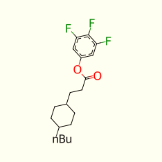 CCCCC1CCC(CCC(=O)Oc2cc(F)c(F)c(F)c2)CC1